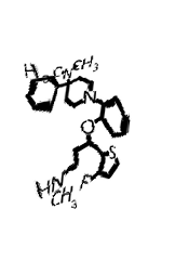 CNCCC(Oc1ccccc1N1CCC(c2ccccc2)(N(C)C)CC1)c1sccc1F